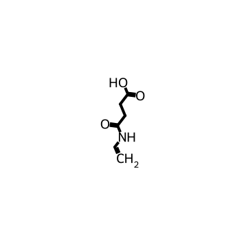 C=CNC(=O)CCC(=O)O